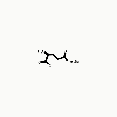 C=C(CCC(=O)OC(C)(C)C)C(=O)Cl